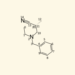 CCN(Cc1ccccc1)C[C@@H](C)C#N